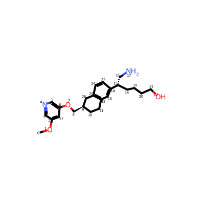 COc1cncc(OC[C@@H]2CCc3cc([C@H](CN)CCCCO)ccc3C2)c1